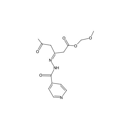 COCOC(=O)CC(CC(C)=O)=NNC(=O)c1ccncc1